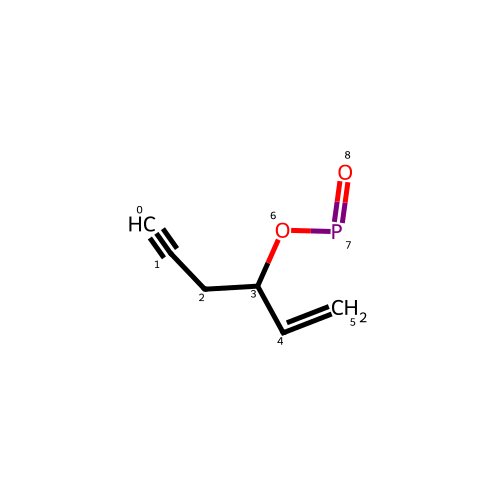 C#CCC(C=C)OP=O